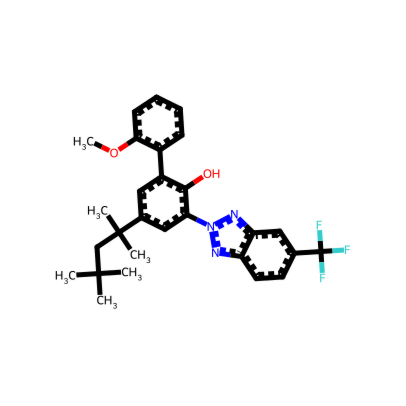 COc1ccccc1-c1cc(C(C)(C)CC(C)(C)C)cc(-n2nc3ccc(C(F)(F)F)cc3n2)c1O